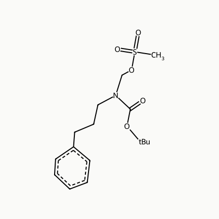 CC(C)(C)OC(=O)N(CCCc1ccccc1)COS(C)(=O)=O